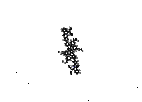 Cc1ccc(C2(c3ccc(C)cc3)c3cc(-c4ccc(/C=C5\C(=O)c6ccccc6C5=C(C#N)C#N)s4)ccc3-c3sc4c5c(sc4c32)-c2ccc(-c3ccc(/C=C4\C(=O)c6ccccc6C4=C(C#N)C#N)s3)cc2C5(c2ccc(C)cc2)c2ccc(C)cc2)cc1